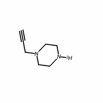 [2H]N1CCN(CC#C)CC1